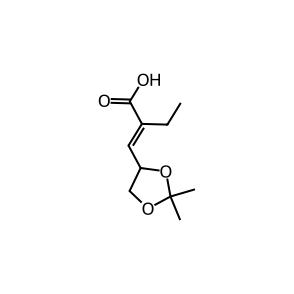 CC/C(=C\C1COC(C)(C)O1)C(=O)O